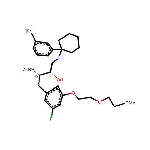 COCCOCCOc1cc(F)cc(C[C@H](NC(C)=O)[C@@H](O)CNC2(c3cccc(C(C)C)c3)CCCCC2)c1